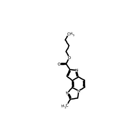 CCCCOC(=O)c1cc2c3n(ccc-2n1)CC(C)=N3